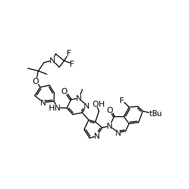 Cn1nc(-c2ccnc(-n3ncc4cc(C(C)(C)C)cc(F)c4c3=O)c2CO)cc(Nc2ccc(OC(C)(C)CN3CC(F)(F)C3)cn2)c1=O